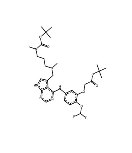 CN(CCCN(C)C(=O)OC(C)(C)C)Cc1c[nH]c2ncnc(Nc3ccc(OC(F)F)c(OCC(=O)OC(C)(C)C)c3)c12